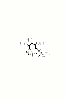 C[Si](C)(C)O[C@H]1O[C@H](CO)[C@@H](O)[C@H](O)[C@H]1O